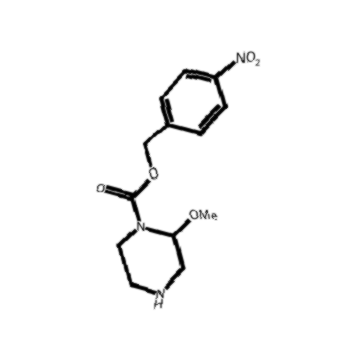 COC1CNCCN1C(=O)OCc1ccc([N+](=O)[O-])cc1